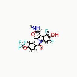 CNC(=O)[C@@H](C)c1c(C)n(C(=O)c2ccc(OC(F)(F)F)cc2)c2cc(F)c(O)c(F)c12